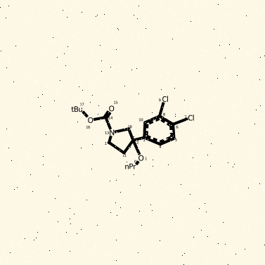 CCCOC1(c2ccc(Cl)c(Cl)c2)CCN(C(=O)OC(C)(C)C)C1